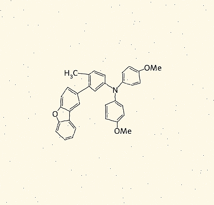 COc1ccc(N(c2ccc(OC)cc2)c2ccc(C)c(-c3ccc4oc5ccccc5c4c3)c2)cc1